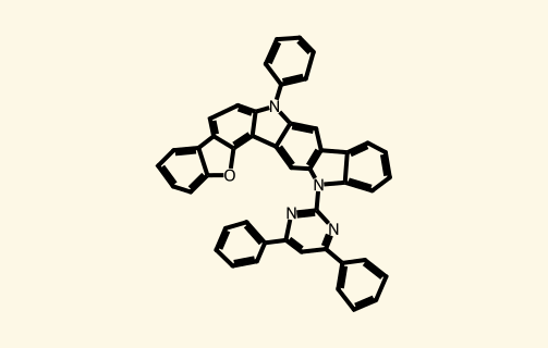 c1ccc(-c2cc(-c3ccccc3)nc(-n3c4ccccc4c4cc5c(cc43)c3c4oc6ccccc6c4ccc3n5-c3ccccc3)n2)cc1